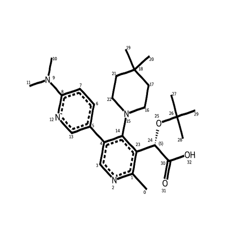 Cc1ncc(-c2ccc(N(C)C)nc2)c(N2CCC(C)(C)CC2)c1[C@H](OC(C)(C)C)C(=O)O